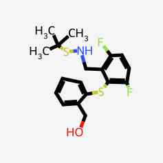 CC(C)(C)SNCc1c(F)ccc(F)c1Sc1ccccc1CO